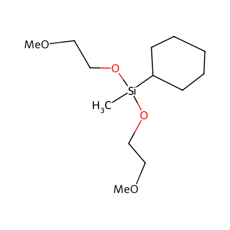 COCCO[Si](C)(OCCOC)C1CCCCC1